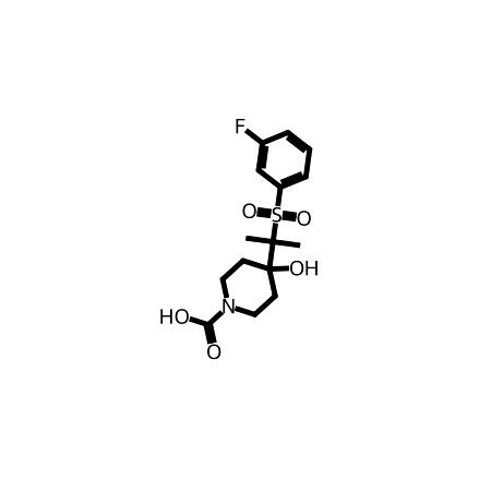 CC(C)(C1(O)CCN(C(=O)O)CC1)S(=O)(=O)c1cccc(F)c1